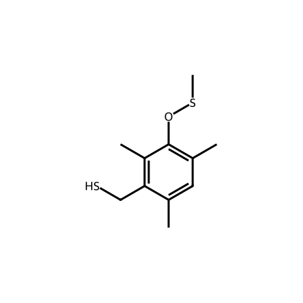 CSOc1c(C)cc(C)c(CS)c1C